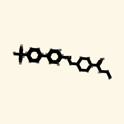 CCOC(=O)N1CCC(CNc2ncc(-c3ccc(S(C)(=O)=O)cc3)cn2)CC1